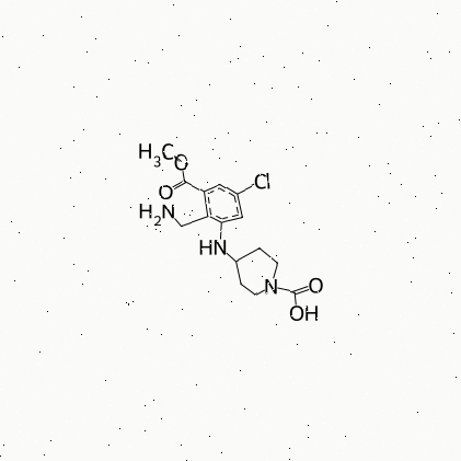 COC(=O)c1cc(Cl)cc(NC2CCN(C(=O)O)CC2)c1CN